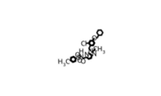 Cc1ccc(S(=O)(=O)NC(=O)c2ccc3nc(C)n(Cc4ccc(OCC5CCCCC5)cc4Cl)c3n2)cc1